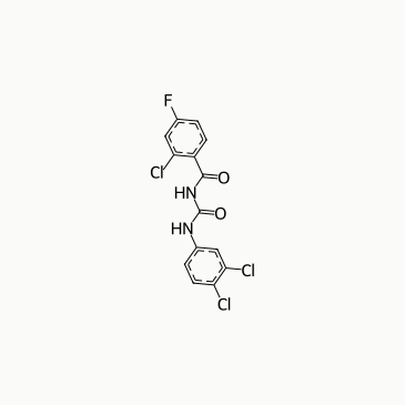 O=C(NC(=O)c1ccc(F)cc1Cl)Nc1ccc(Cl)c(Cl)c1